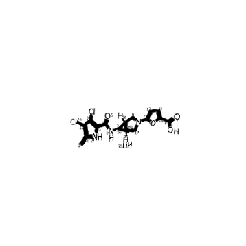 Cc1[nH]c(C(=O)N[C@H]2[C@@H]3CN(c4ccc(C(=O)O)o4)C[C@@H]32)c(Cl)c1Cl.[LiH]